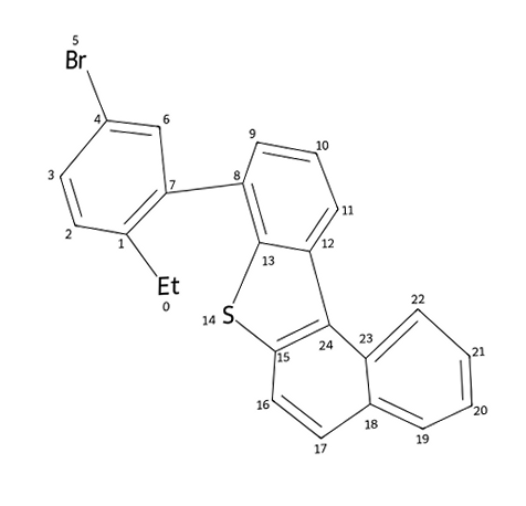 CCc1ccc(Br)cc1-c1cccc2c1sc1ccc3ccccc3c12